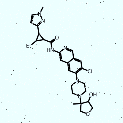 CCC1C(C(=O)Nc2cc3cc(N4CCN(C5(C)COCC5O)CC4)c(Cl)cc3cn2)C1c1ccn(C)n1